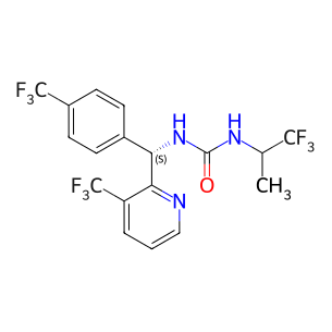 CC(NC(=O)N[C@@H](c1ccc(C(F)(F)F)cc1)c1ncccc1C(F)(F)F)C(F)(F)F